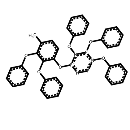 Cc1ccc(Op2npn(Oc3ccccc3)p(Oc3ccccc3)n2Oc2ccccc2)c(Oc2ccccc2)c1Oc1ccccc1